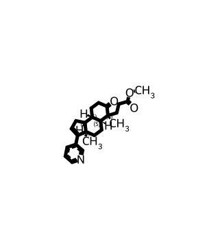 COC(=O)CC[C@@]1(C)C(=O)CC[C@@H]2[C@@H]1CC[C@]1(C)C(c3cccnc3)=CC[C@@H]21